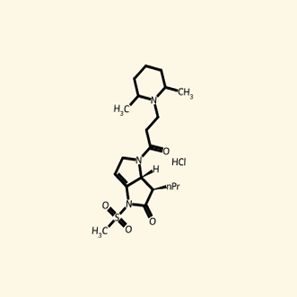 CCC[C@H]1C(=O)N(S(C)(=O)=O)C2=CCN(C(=O)CCN3C(C)CCCC3C)[C@@H]21.Cl